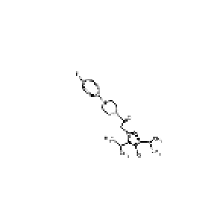 CC(C)c1nn(CC(=O)N2CCN(c3ccc(F)cc3)CC2)c(C(C)C)c1Cl